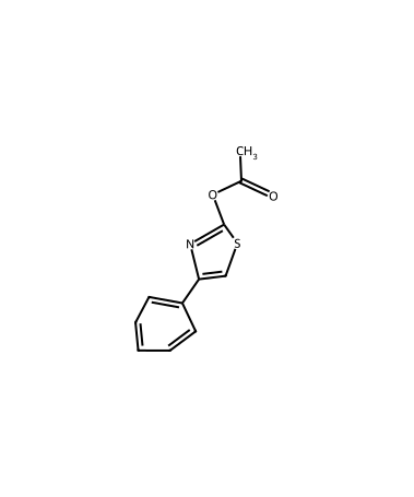 CC(=O)Oc1nc(-c2ccccc2)cs1